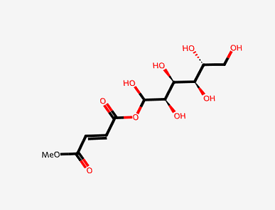 COC(=O)/C=C/C(=O)OC(O)[C@H](O)[C@@H](O)[C@H](O)[C@H](O)CO